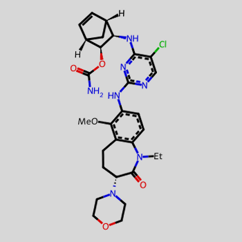 CCN1C(=O)[C@H](N2CCOCC2)CCc2c1ccc(Nc1ncc(Cl)c(N[C@H]3[C@@H](OC(N)=O)[C@@H]4C=C[C@H]3C4)n1)c2OC